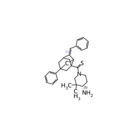 CC1(C)CN(C(=S)C23CC4CC(c5ccccc5)(CC2/C4=C\c2ccccc2)C3)CC[C@@H]1N